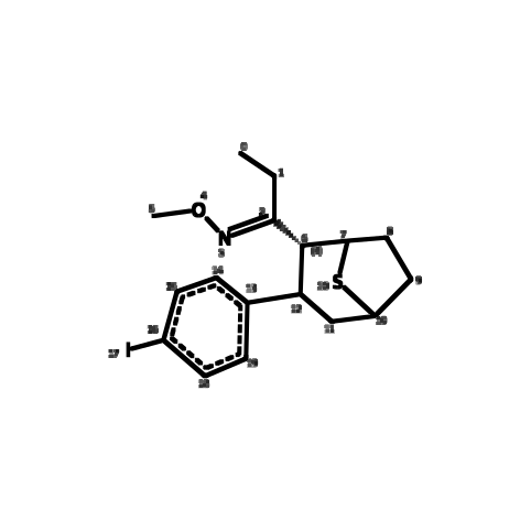 CCC(=NOC)[C@@H]1C2CCC(CC1c1ccc(I)cc1)S2